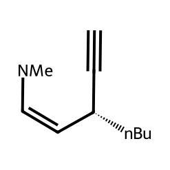 C#C[C@@H](/C=C\NC)CCCC